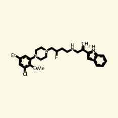 C=C(CNCCC(F)CN1CCN(c2cc(CC)cc(Cl)c2OC)CC1)c1cc2ccccc2[nH]1